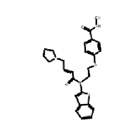 O=C(NO)c1ccc(OCCN(C(=O)C=CCN2CCCC2)c2cc3ccccc3o2)cc1